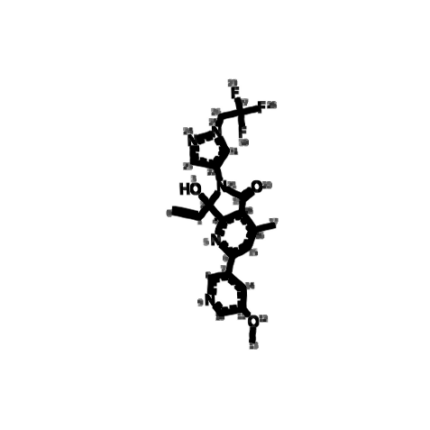 C=CC1(O)c2nc(-c3cncc(OC)c3)cc(C)c2C(=O)N1c1cnn(CC(F)(F)F)c1